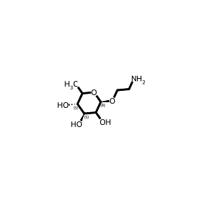 CC1O[C@@H](OCCN)C(O)[C@@H](O)[C@@H]1O